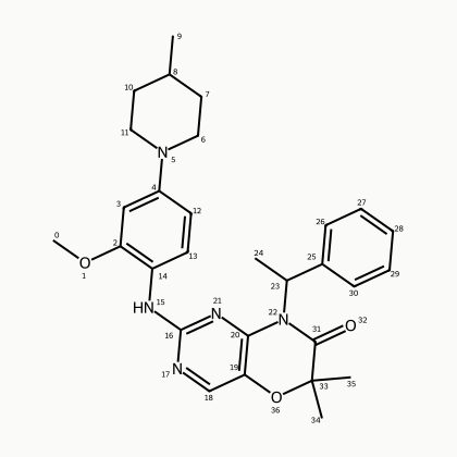 COc1cc(N2CCC(C)CC2)ccc1Nc1ncc2c(n1)N(C(C)c1ccccc1)C(=O)C(C)(C)O2